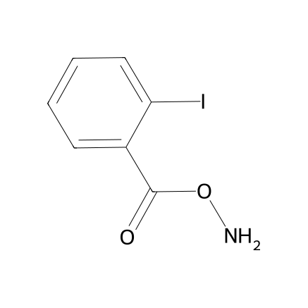 NOC(=O)c1ccccc1I